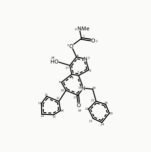 CNC(=O)Oc1ncc2c(cc(-c3ccccc3)c(=O)n2Cc2ccccc2)c1O